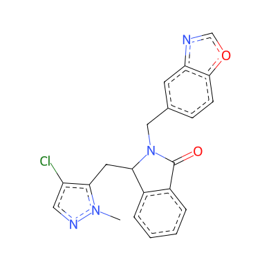 Cn1ncc(Cl)c1CC1c2ccccc2C(=O)N1Cc1ccc2ocnc2c1